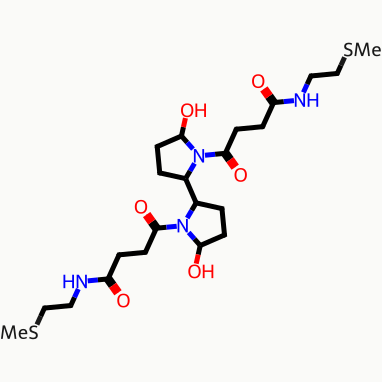 CSCCNC(=O)CCC(=O)N1C(O)CCC1C1CCC(O)N1C(=O)CCC(=O)NCCSC